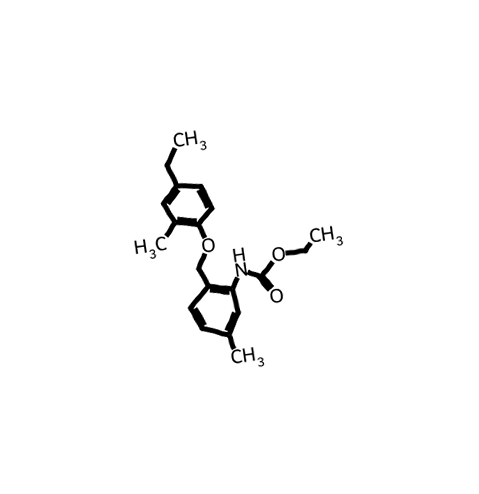 CCOC(=O)Nc1cc(C)ccc1COc1ccc(CC)cc1C